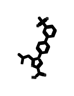 CC(C)Cc1nc(C(=O)O)cn1-c1ccc(-c2cccc(S(C)(=O)=O)c2)cc1